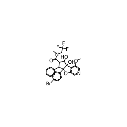 COc1cncc2c1C1(O)C(O)C(C(=O)N(C)CC(F)(F)F)C(c3ccccc3)C1(c1ccc(Br)cc1)O2